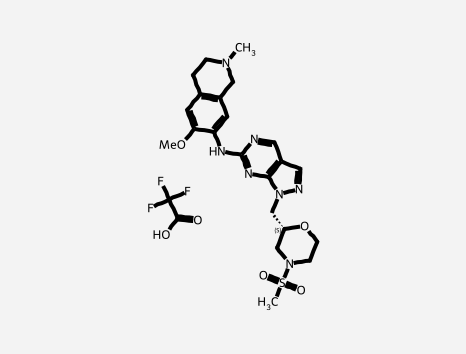 COc1cc2c(cc1Nc1ncc3cnn(C[C@H]4CN(S(C)(=O)=O)CCO4)c3n1)CN(C)CC2.O=C(O)C(F)(F)F